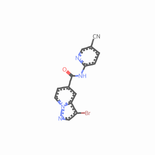 N#Cc1ccc(NC(=O)c2ccn3ncc(Br)c3c2)nc1